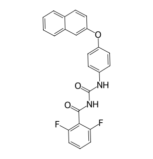 O=C(NC(=O)c1c(F)cccc1F)Nc1ccc(Oc2ccc3ccccc3c2)cc1